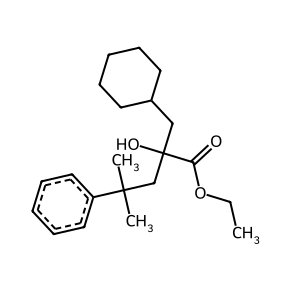 CCOC(=O)C(O)(CC1CCCCC1)CC(C)(C)c1ccccc1